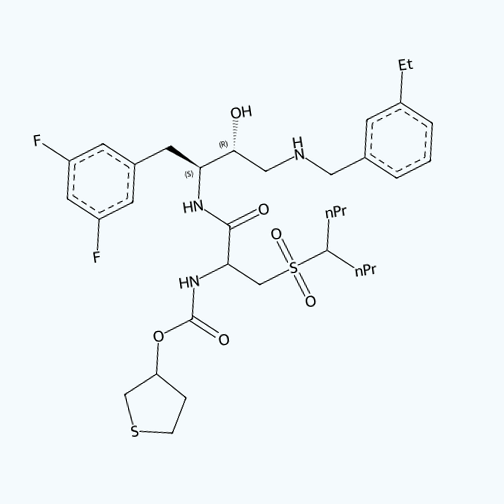 CCCC(CCC)S(=O)(=O)CC(NC(=O)OC1CCSC1)C(=O)N[C@@H](Cc1cc(F)cc(F)c1)[C@H](O)CNCc1cccc(CC)c1